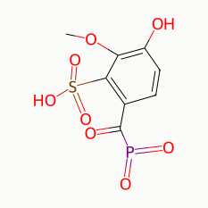 COc1c(O)ccc(C(=O)P(=O)=O)c1S(=O)(=O)O